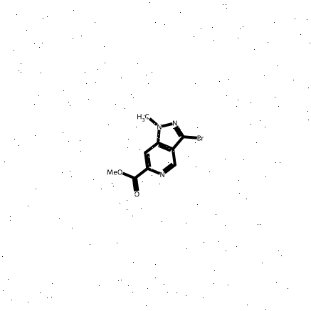 COC(=O)c1cc2c(cn1)c(Br)nn2C